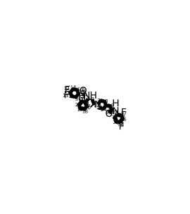 C[C@@H](C[C@H](NS(=O)(=O)C1CCC(F)(F)CC1)c1ccccc1)N1CCC(CC(=O)Nc2ccc(F)cc2F)CC1